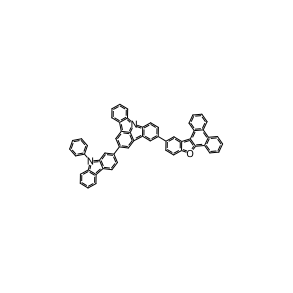 c1ccc(-n2c3ccccc3c3ccc(-c4cc5c6ccccc6n6c7ccc(-c8ccc9oc%10c%11ccccc%11c%11ccccc%11c%10c9c8)cc7c(c4)c56)cc32)cc1